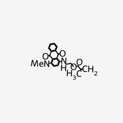 C=C(C)C(=O)OCCNc1ccc(NC)c2c1C(=O)c1ccccc1C2=O